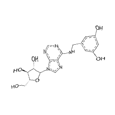 OC[C@H]1OC(n2cnc3c(NCc4cc(O)cc(O)c4)ncnc32)[C@@H](O)[C@@H]1O